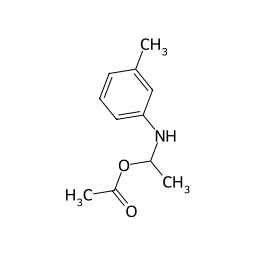 CC(=O)OC(C)Nc1cccc(C)c1